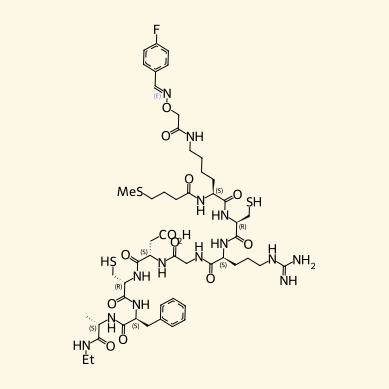 CCNC(=O)[C@H](C)NC(=O)[C@H](Cc1ccccc1)NC(=O)[C@H](CS)NC(=O)[C@H](CC(=O)O)NC(=O)CNC(=O)[C@H](CCCNC(=N)N)NC(=O)[C@H](CS)NC(=O)[C@H](CCCCNC(=O)CO/N=C/c1ccc(F)cc1)NC(=O)CCCSC